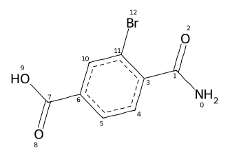 NC(=O)c1ccc(C(=O)O)cc1Br